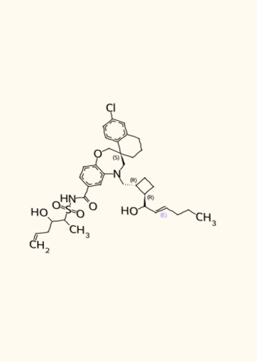 C=CCC(O)C(C)S(=O)(=O)NC(=O)c1ccc2c(c1)N(C[C@@H]1CC[C@H]1C(O)/C=C/CCC)C[C@@]1(CCCc3cc(Cl)ccc31)CO2